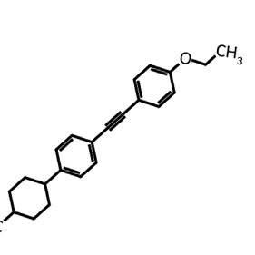 CCOc1ccc(C#Cc2ccc(C3CCC(C)CC3)cc2)cc1